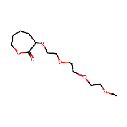 COCCOCCOCCOC1CCCCOC1=O